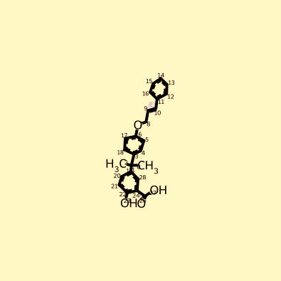 CC(C)(c1ccc(OC/C=C/c2ccccc2)cc1)c1ccc(O)c(C(=O)O)c1